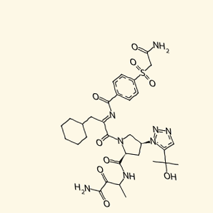 CC(NC(=O)[C@@H]1C[C@H](n2nncc2C(C)(C)O)CN1C(=O)/C(CC1CCCCC1)=N/C(=O)c1ccc(S(=O)(=O)CC(N)=O)cc1)C(=O)C(N)=O